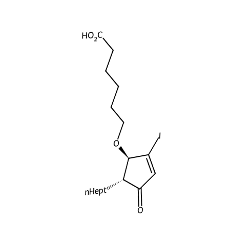 CCCCCCC[C@H]1C(=O)C=C(I)[C@@H]1OCCCCCC(=O)O